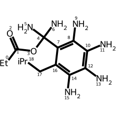 CCC(=O)OC(N)(N)c1c(N)c(N)c(N)c(N)c1CC(C)C